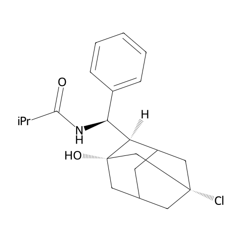 CC(C)C(=O)N[C@@H](c1ccccc1)[C@H]1C2CC3C[C@](Cl)(C2)C[C@@]1(O)C3